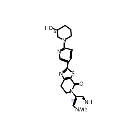 CN/C=C(\C=N)N1CCc2nc(-c3ccc(N4CCC[C@H](O)C4)nc3)sc2C1=O